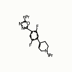 CCCc1nnc(-c2cc(F)c(C3=CCN(C(C)C)CC3)cc2F)o1